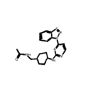 CC(=O)NCC1CCC(Nc2nccc(-n3nnc4ccccc43)n2)CC1